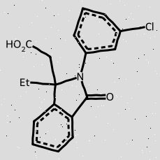 CCC1(CC(=O)O)c2ccccc2C(=O)N1c1cccc(Cl)c1